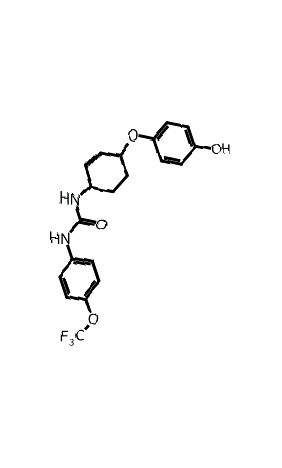 O=C(Nc1ccc(OC(F)(F)F)cc1)NC1CCC(Oc2ccc(O)cc2)CC1